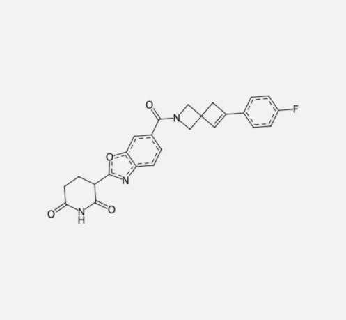 O=C1CCC(c2nc3ccc(C(=O)N4CC5(C=C(c6ccc(F)cc6)C5)C4)cc3o2)C(=O)N1